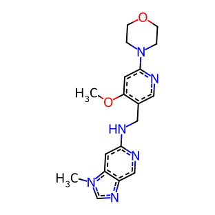 COc1cc(N2CCOCC2)ncc1CNc1cc2c(cn1)ncn2C